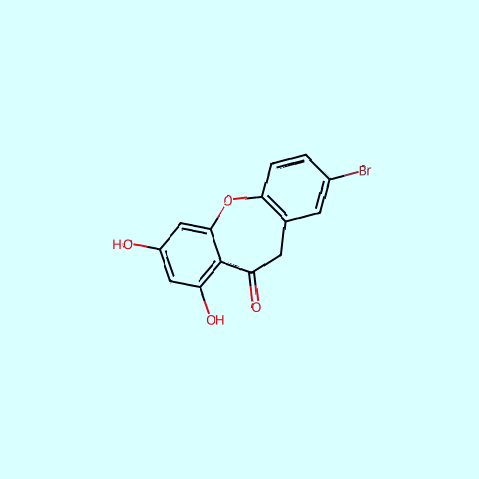 O=C1Cc2cc(Br)ccc2Oc2cc(O)cc(O)c21